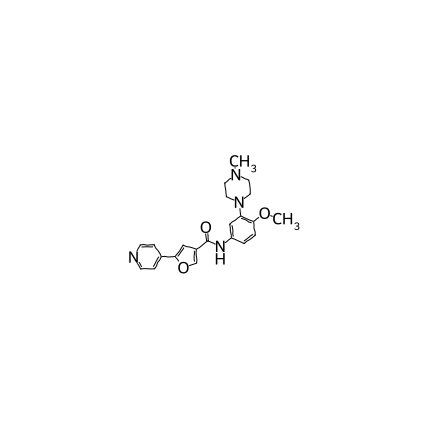 COc1ccc(NC(=O)c2coc(-c3ccncc3)c2)cc1N1CCN(C)CC1